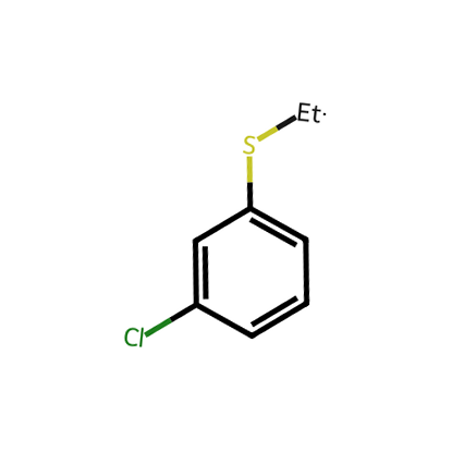 C[CH]Sc1cccc(Cl)c1